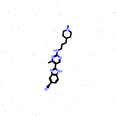 Cc1nc(NCCCC2CCN(C)CC2)ncc1-c1nc2cc(C#N)ccc2[nH]1